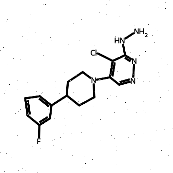 NNc1nncc(N2CCC(c3cccc(F)c3)CC2)c1Cl